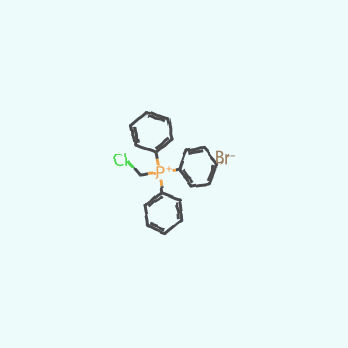 ClC[P+](c1ccccc1)(c1ccccc1)c1ccccc1.[Br-]